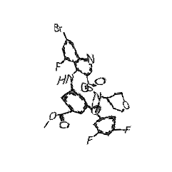 COC(=O)c1cc(Nc2c(S(=O)(=O)NC3CCOCC3)cnc3cc(Br)cc(F)c23)cc(Oc2cc(F)cc(F)c2)c1